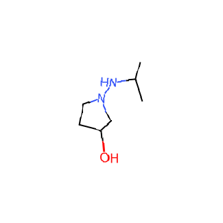 CC(C)NN1CCC(O)C1